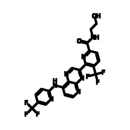 O=C(NCCO)c1ccc(C(F)(F)F)c(-c2cnc3c(Nc4ccc(C(F)(F)F)cn4)ccnc3n2)n1